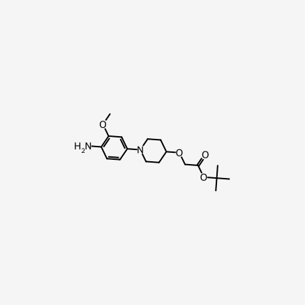 COc1cc(N2CCC(OCC(=O)OC(C)(C)C)CC2)ccc1N